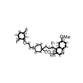 CCOC(=O)C1(CC[C@H](F)c2c(Cl)cnc3ccc(OC)cc23)CCN(CCOc2cc(F)ccc2F)CC1